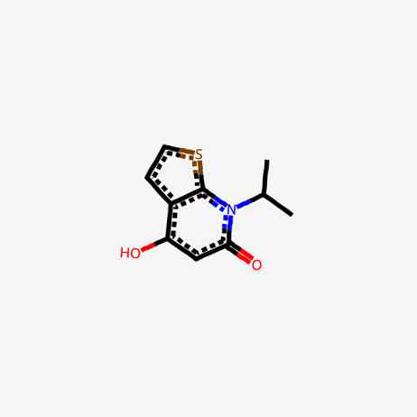 CC(C)n1c(=O)cc(O)c2ccsc21